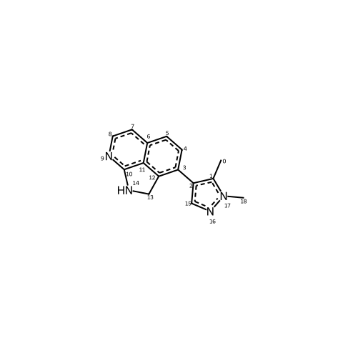 Cc1c(-c2ccc3ccnc4c3c2CN4)cnn1C